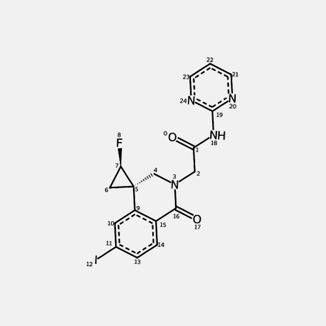 O=C(CN1C[C@@]2(C[C@H]2F)c2cc(I)ccc2C1=O)Nc1ncccn1